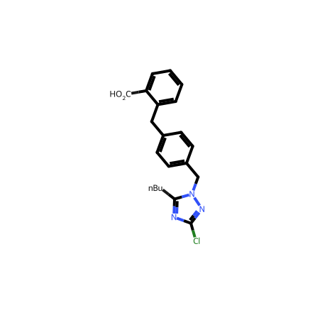 CCCCc1nc(Cl)nn1Cc1ccc(Cc2ccccc2C(=O)O)cc1